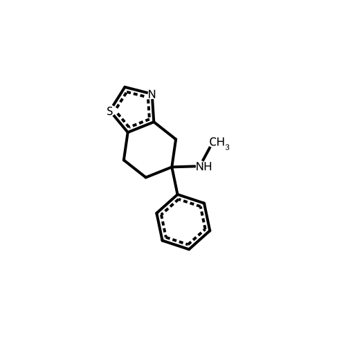 CNC1(c2ccccc2)CCc2scnc2C1